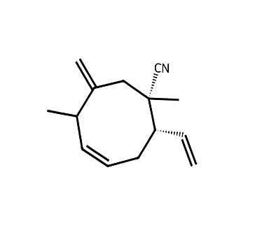 C=C[C@@H]1C/C=C\C(C)C(=C)C[C@]1(C)C#N